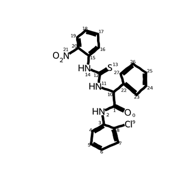 O=C(Nc1ccccc1Cl)C(NC(=S)Nc1ccccc1[N+](=O)[O-])c1ccccc1